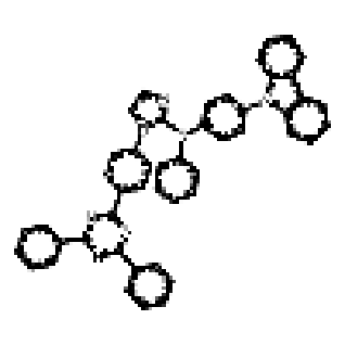 c1ccc(-c2nc(-c3ccccc3)nc(-c3ccc(-n4ccnc4N(c4ccccc4)c4ccc(-n5c6ccccc6c6ccccc65)cc4)cc3)n2)cc1